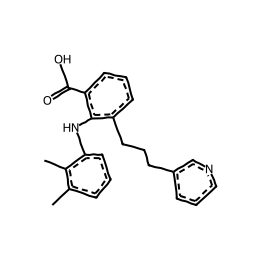 Cc1cccc(Nc2c(CCCc3cccnc3)cccc2C(=O)O)c1C